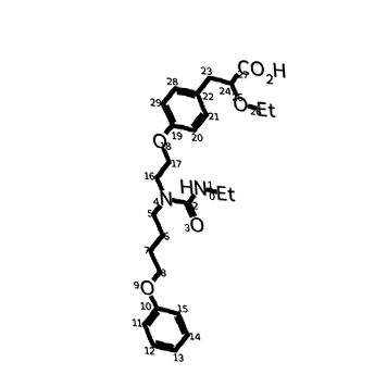 CCNC(=O)N(CCCCOc1ccccc1)CCOc1ccc(CC(OCC)C(=O)O)cc1